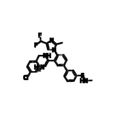 CNSc1cccc(-c2ccc(-n3cc(C(F)F)nc3C)c(/C(=C/N)NCc3ccc(Cl)cc3)c2)c1